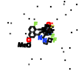 COCOc1cc(-c2cc3nc([S+](C)[O-])ncc3c(N3CCC34CC(F)(F)C4)n2)c2c(C#C[Si](C(C)C)(C(C)C)C(C)C)c(F)ccc2c1